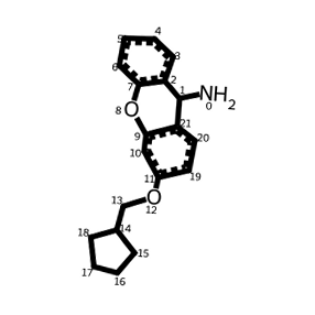 NC1c2ccccc2Oc2cc(OCC3CCCC3)ccc21